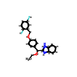 CCOC(c1ccc(OCc2cc(F)ccc2F)cc1)c1nc2ccccc2[nH]1